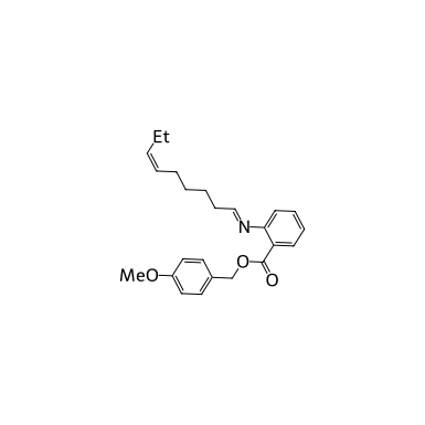 CC/C=C\CCCC/C=N/c1ccccc1C(=O)OCc1ccc(OC)cc1